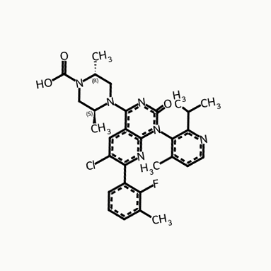 Cc1cccc(-c2nc3c(cc2Cl)c(N2C[C@@H](C)N(C(=O)O)C[C@@H]2C)nc(=O)n3-c2c(C)ccnc2C(C)C)c1F